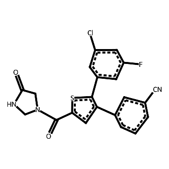 N#Cc1cccc(-c2cc(C(=O)N3CNC(=O)C3)sc2-c2cc(F)cc(Cl)c2)c1